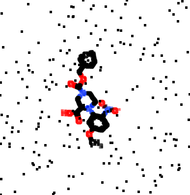 COc1ccc([N+](=O)[O-])c(N2CCN(C(=O)OCc3ccccc3)CC2C(=O)O)c1